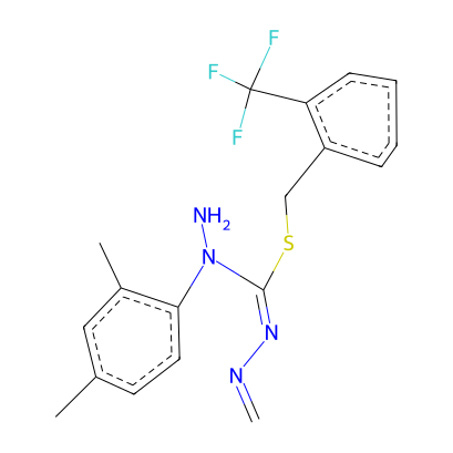 C=N/N=C(/SCc1ccccc1C(F)(F)F)N(N)c1ccc(C)cc1C